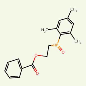 Cc1cc(C)c([PH](=O)CCOC(=O)c2ccccc2)c(C)c1